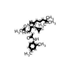 CC(=O)N[C@@H](CC(=O)Nc1ccc(C)cc1C)c1nnc(CCCC(C)(C)C)n1C1CC1